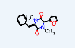 CN1C(=O)C(c2ccco2)N(C)C(=O)C1=Cc1ccccc1